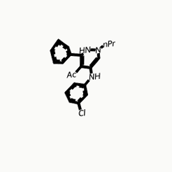 CCCN1C=C(Nc2cccc(Cl)c2)C(C(C)=O)=C(c2ccccc2)N1